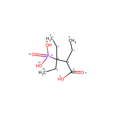 CCC(C(=O)O)C(CC)(CC)P(=O)(O)O